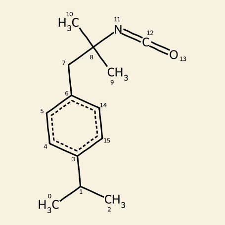 CC(C)c1ccc(CC(C)(C)N=C=O)cc1